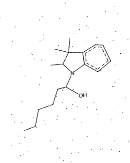 CCCCCC(O)N1c2ccccc2C(C)(C)C1C